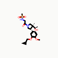 COc1ccc([C@@H]2CN(C(=O)CNS(C)(=O)=O)C[C@@]2(C)[C@@H](C)O)cc1OCC1CC1